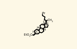 CCOC(=O)C=C1CC[C@@]2(C)C(CC[C@H]3[C@@H]4CC[C@H]([C@H](C)CCCC(C)C)[C@@]4(C)CC[C@@H]32)C1